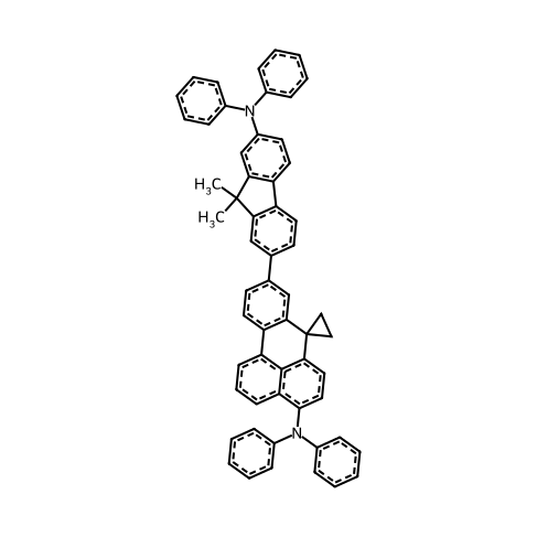 CC1(C)c2cc(-c3ccc4c(c3)C3(CC3)c3ccc(N(c5ccccc5)c5ccccc5)c5cccc-4c35)ccc2-c2ccc(N(c3ccccc3)c3ccccc3)cc21